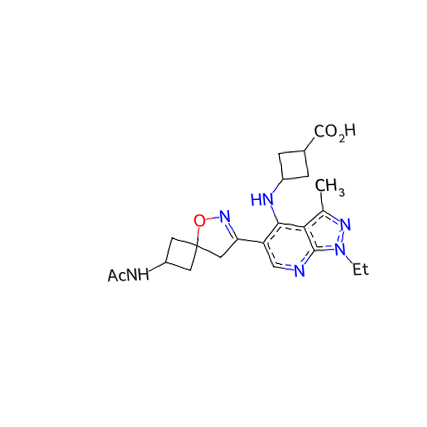 CCn1nc(C)c2c(NC3CC(C(=O)O)C3)c(C3=NOC4(C3)CC(NC(C)=O)C4)cnc21